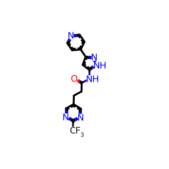 O=C(CCc1cnc(C(F)(F)F)nc1)Nc1cc(-c2ccncc2)n[nH]1